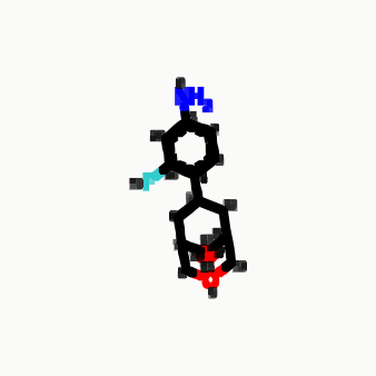 Nc1ccc(C2CC3COCC(C2)C32OCCO2)c(F)c1